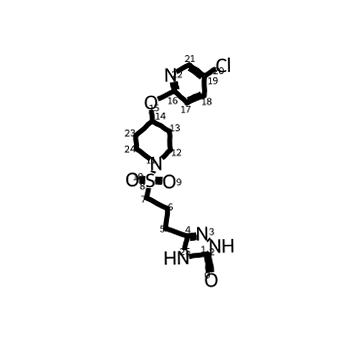 O=c1[nH]nc(CCCS(=O)(=O)N2CCC(Oc3ccc(Cl)cn3)CC2)[nH]1